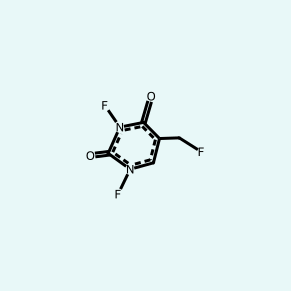 O=c1c(CF)cn(F)c(=O)n1F